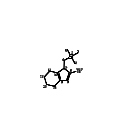 C[Si](C)(C)CC1[C]([Ti])=CC2=C1CCCC2